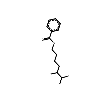 CC(F)C(F)CCCCSC(=O)c1ccccc1